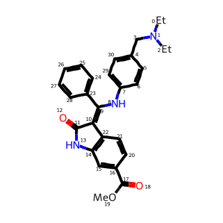 CCN(CC)Cc1ccc(NC(=C2C(=O)Nc3cc(C(=O)OC)ccc32)c2ccccc2)cc1